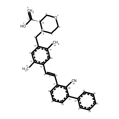 C=C(O)[C@@H]1COCCN1Cc1cc(C)c(/C=C/c2cccc(-c3ccccc3)c2C#N)cc1C